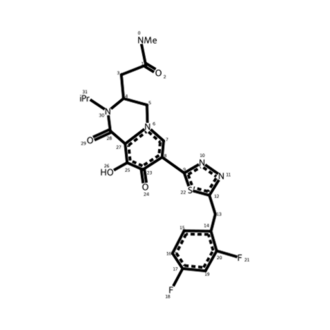 CNC(=O)CC1Cn2cc(-c3nnc(Cc4ccc(F)cc4F)s3)c(=O)c(O)c2C(=O)N1C(C)C